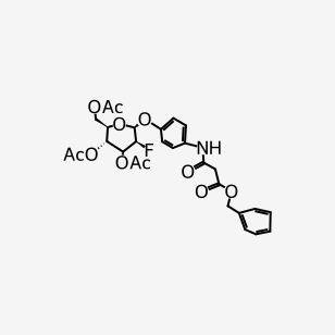 CC(=O)OC[C@H]1O[C@@H](Oc2ccc(NC(=O)CC(=O)OCc3ccccc3)cc2)[C@@H](F)[C@@H](OC(C)=O)[C@@H]1OC(C)=O